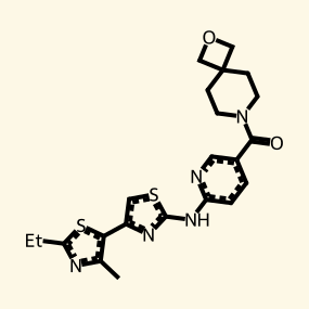 CCc1nc(C)c(-c2csc(Nc3ccc(C(=O)N4CCC5(CC4)COC5)cn3)n2)s1